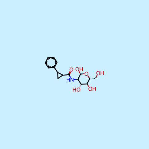 O=C(N[C@@H]1[C@@H](O)[C@H](O)[C@@H](CO)O[C@@H]1O)C1CC1c1ccccc1